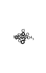 COc1cc(Cl)cc(C(=O)N(C)[C@H](CCNC(=O)C2=CCCN2C)Cc2ccccc2)c1